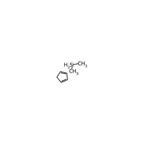 C1=CCC=C1.C[SiH2]C